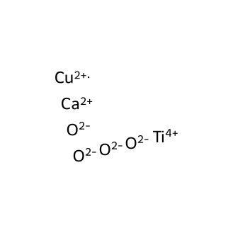 [Ca+2].[Cu+2].[O-2].[O-2].[O-2].[O-2].[Ti+4]